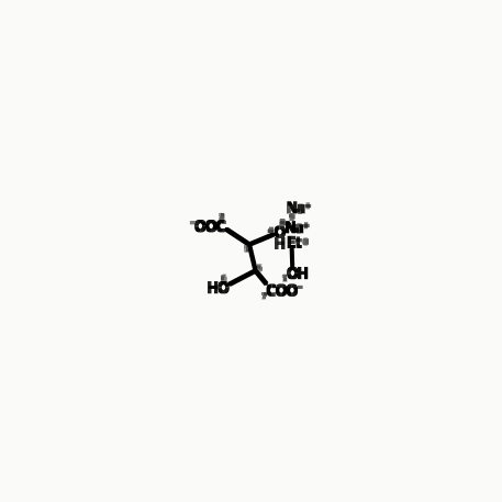 CCO.O=C([O-])C(O)C(O)C(=O)[O-].[Na+].[Na+]